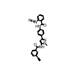 C#Cc1cccc(C(=O)Nc2cc(-c3ccc(NC(=O)c4ccccc4N=[N+]=[N-])cc3)nn2C)c1